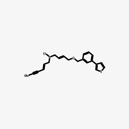 CCN(CC=CC#CC(C)(C)C)CC=CCOCc1cccc(-c2ccsc2)c1